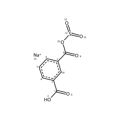 O=C(O)c1cccc(C(=O)O[S-](=O)=O)c1.[Na+]